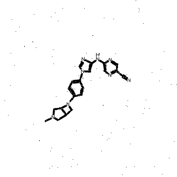 CN1CC2CN(c3ccc(-n4cnc(Nc5cnc(C#N)cn5)c4)cc3)C2C1